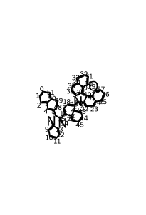 c1ccc2cc(-c3nc4ccccc4nc3-c3ccc(-n4c5ccc6cccc7oc8cccc9ccc4c(c98)c5c67)c4ccccc34)ccc2c1